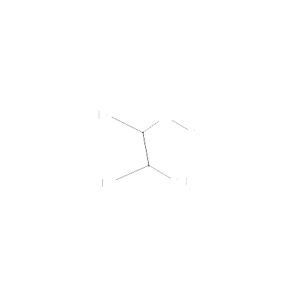 BC(O)C(CC)OC(C)=O